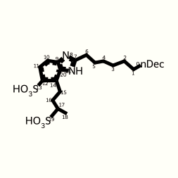 CCCCCCCCCCCCCCCCc1nc2ccc(S(=O)(=O)O)c(CCC(C)S(=O)(=O)O)c2[nH]1